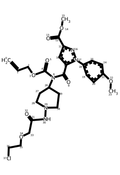 C=CCOC(=O)N(C(=O)c1cc(C(=O)OC)nn1-c1ccc(OC)cc1)C1CCN(NC(=O)COCCCl)CC1